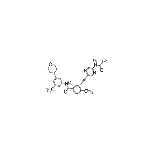 Cc1ccc(C(=O)Nc2cc(C3CCOCC3)cc(C(F)(F)F)c2)cc1C#Cc1cnc(NC(=O)C2CC2)cn1